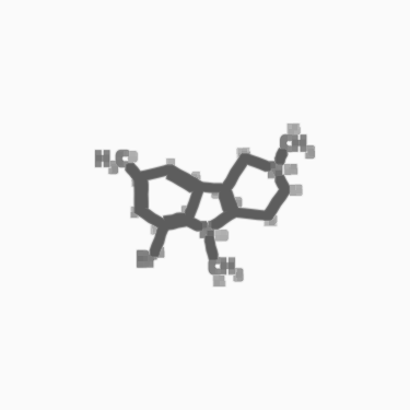 Cc1cc(Br)c2c(c1)c1c(n2C)CCN(C)C1